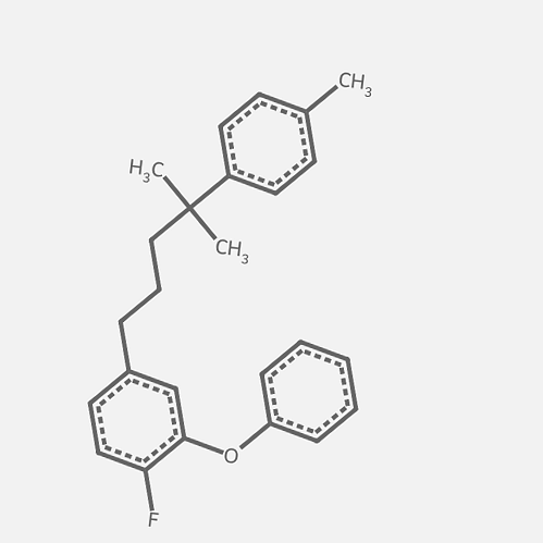 Cc1ccc(C(C)(C)CCCc2ccc(F)c(Oc3ccccc3)c2)cc1